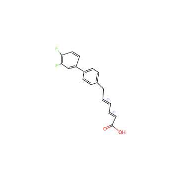 O=C(O)/C=C/C=C/Cc1ccc(-c2ccc(F)c(F)c2)cc1